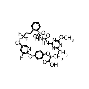 COc1nc(C)nc(NC(=O)NS(=O)(=O)c2ccccc2CCC(F)(F)F)n1.C[C@@H](Oc1ccc(Oc2ncc(Cl)cc2F)cc1)C(=O)O